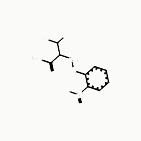 CC(C)C(NSc1ccccc1[N+](=O)[O-])C(=O)O